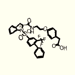 O=C(O)Cc1ccc(OCCNC(=O)[C@@H]2Cc3ccccc3N2S(=O)(=O)c2ccc(-c3ccccc3)c(C(F)(F)F)c2)cc1